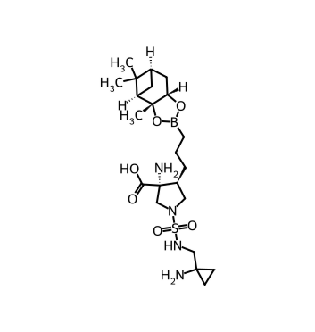 CC1(C)[C@H]2C[C@@H]3OB(CCC[C@H]4CN(S(=O)(=O)NCC5(N)CC5)C[C@@]4(N)C(=O)O)O[C@]3(C)[C@@H]1C2